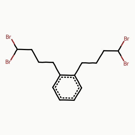 BrC(Br)CCCc1ccccc1CCCC(Br)Br